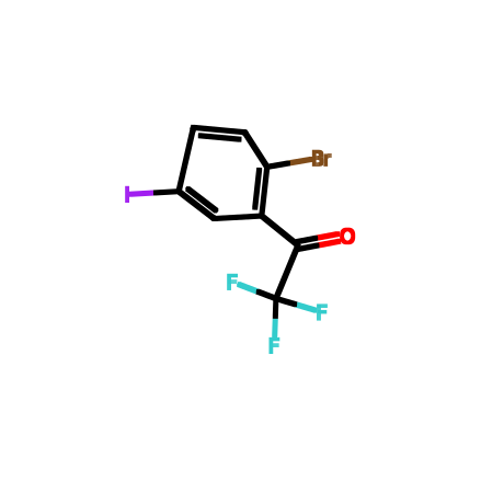 O=C(c1cc(I)ccc1Br)C(F)(F)F